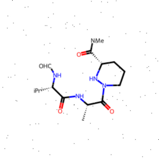 CNC(=O)[C@@H]1CCCN(C(=O)[C@H](C)NC(=O)[C@@H](NC=O)C(C)C)N1